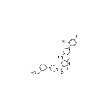 Cc1nc(C)c(C(=O)N2CCN(c3cccc(CO)c3)CC2)c(C)c1NC1CCN(c2ccc(F)cc2C#N)CC1